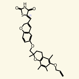 C=CCOc1c(C)c(C)c2c(c1C)CCC(C)(COc1ccc3c(c1)C=C(/C=C1\SC(=O)NC1=O)CO3)O2